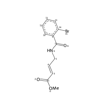 COC(=O)/C=C/CNC(=O)c1ccccc1Br